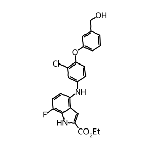 CCOC(=O)c1cc2c(Nc3ccc(Oc4cccc(CO)c4)c(Cl)c3)ccc(F)c2[nH]1